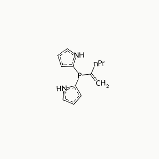 C=C(CCC)P(c1ccc[nH]1)c1ccc[nH]1